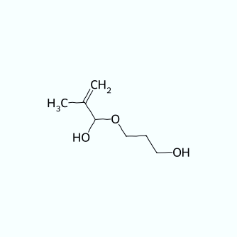 C=C(C)C(O)OCCCO